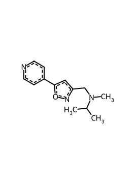 CC(C)N(C)Cc1cc(-c2ccncc2)on1